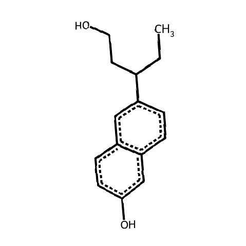 CCC(CCO)c1ccc2cc(O)ccc2c1